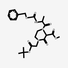 COC(=O)C1C(=O)N(CC(=O)OC(C)(C)C)CCN1C(=O)C(C)NC(=O)OCc1ccccc1